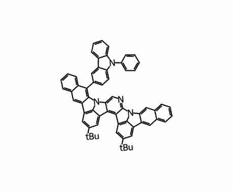 CC(C)(C)c1cc2c3cc4ccccc4cc3n3c4ncc5c(c6cc(C(C)(C)C)cc7c8cc9ccccc9c(-c9ccc%10c(c9)c9ccccc9n%10-c9ccccc9)c8n5c76)c4c(c1)c23